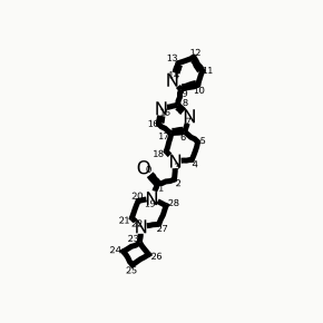 O=C(CN1CCc2nc(-c3ccccn3)ncc2C1)N1CCN(C2CCC2)CC1